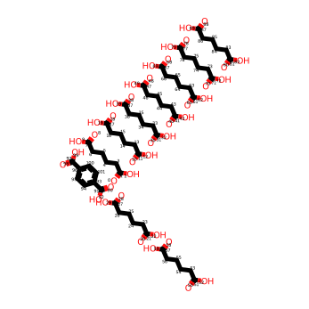 O=C(O)CCCCC(=O)O.O=C(O)CCCCC(=O)O.O=C(O)CCCCC(=O)O.O=C(O)CCCCC(=O)O.O=C(O)CCCCC(=O)O.O=C(O)CCCCC(=O)O.O=C(O)CCCCC(=O)O.O=C(O)CCCCC(=O)O.O=C(O)CCCCC(=O)O.O=C(O)c1ccc(C(=O)O)cc1